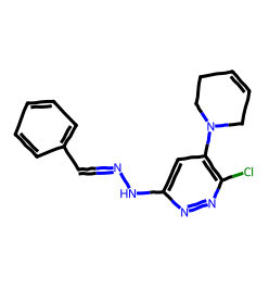 Clc1nnc(N/N=C/c2ccccc2)cc1N1CC=CCC1